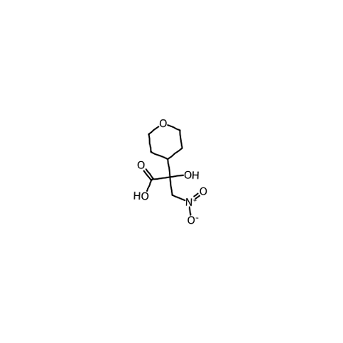 O=C(O)C(O)(C[N+](=O)[O-])C1CCOCC1